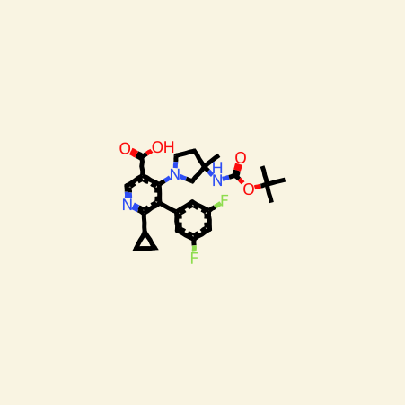 CC1(NC(=O)OC(C)(C)C)CCN(c2c(C(=O)O)cnc(C3CC3)c2-c2cc(F)cc(F)c2)C1